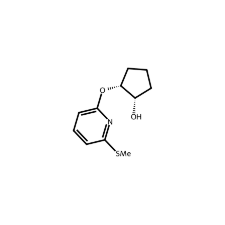 CSc1cccc(O[C@@H]2CCC[C@@H]2O)n1